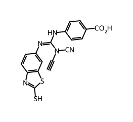 C#CN(C#N)C(=Nc1ccc2nc(S)sc2c1)Nc1ccc(C(=O)O)cc1